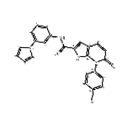 O=C(Nc1cccc(-n2cccc2)c1)c1cc2ccc(=O)n(-c3ccc(F)cc3)c2[nH]1